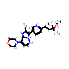 COC(C)(C)CCc1ccc(-c2c(C)nc3c(N4CCOCC4)ccnn23)cn1